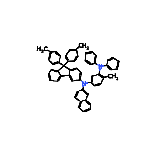 Cc1ccc(C2(c3ccc(C)cc3)c3ccccc3-c3cc(N(c4ccc(C)c(N(c5ccccc5)c5ccccc5)c4)c4ccc5ccccc5c4)ccc32)cc1